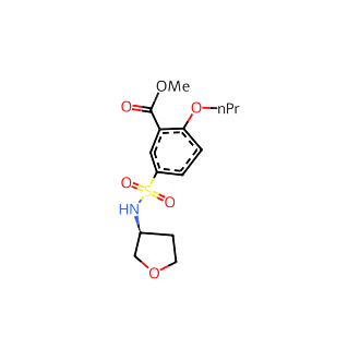 CCCOc1ccc(S(=O)(=O)N[C@H]2CCOC2)cc1C(=O)OC